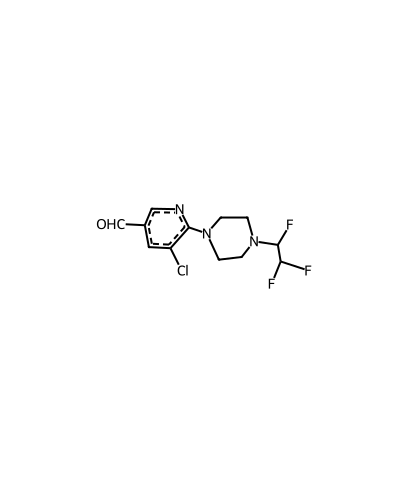 O=Cc1cnc(N2CCN(C(F)C(F)F)CC2)c(Cl)c1